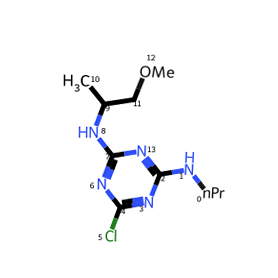 CCCNc1nc(Cl)nc(NC(C)COC)n1